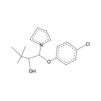 CC(C)(C)C(O)C(Oc1ccc(Cl)cc1)n1cccc1